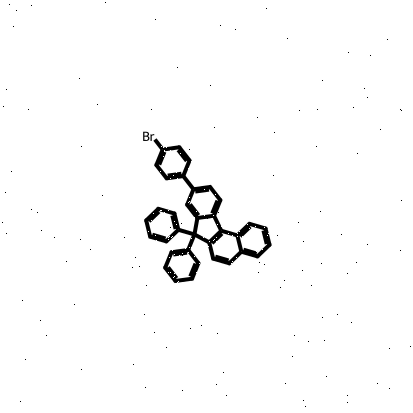 Brc1ccc(-c2ccc3c(c2)C(c2ccccc2)(c2ccccc2)c2ccc4ccccc4c2-3)cc1